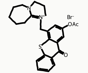 CC(=O)Oc1cc(C[N+]2=C3CCCCCN3CCC2)c2sc3ccccc3c(=O)c2c1.[Br-]